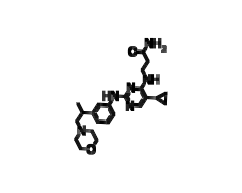 CC(CN1CCOCC1)c1cccc(Nc2ncc(C3CC3)c(NCCC(N)=O)n2)c1